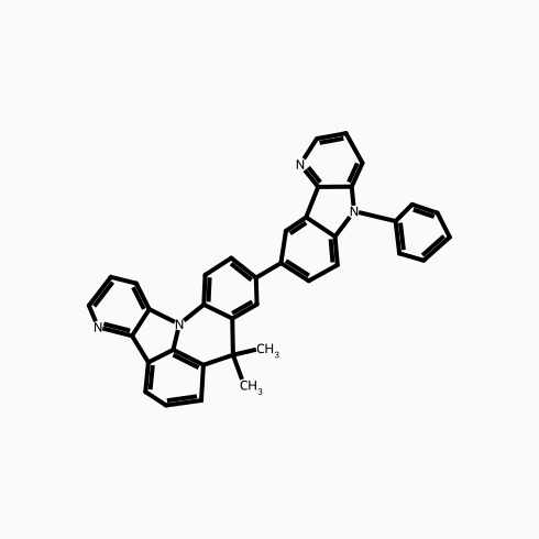 CC1(C)c2cc(-c3ccc4c(c3)c3ncccc3n4-c3ccccc3)ccc2-n2c3cccnc3c3cccc1c32